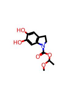 COC(C)OC(=O)N1CCc2cc(O)c(O)cc21